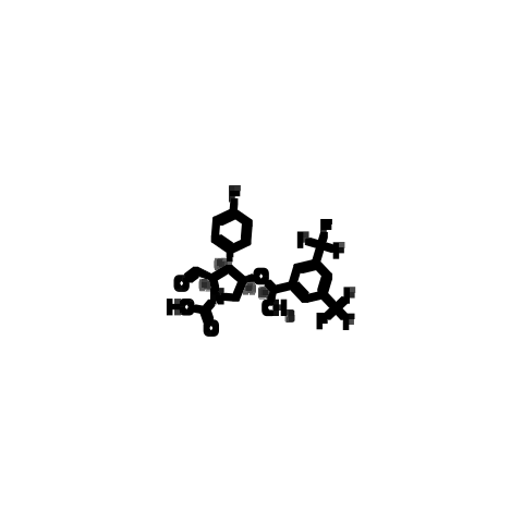 C[C@@H](O[C@H]1CN(C(=O)O)[C@@H](C=O)[C@@H]1c1ccc(F)cc1)c1cc(C(F)(F)F)cc(C(F)(F)F)c1